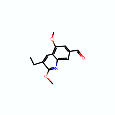 CCc1cc2c(OC)cc(C=O)cc2nc1OC